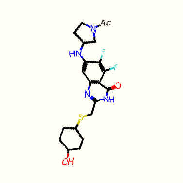 CC(=O)N1CCC(Nc2cc3nc(CSC4CCC(O)CC4)[nH]c(=O)c3c(F)c2F)C1